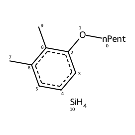 CCCCCOc1cccc(C)c1C.[SiH4]